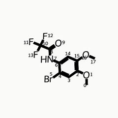 COc1cc(Br)c(NC(=O)C(F)(F)F)cc1OC